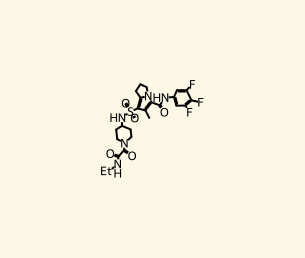 CCNC(=O)C(=O)N1CCC(NS(=O)(=O)c2c(C)c(C(=O)Nc3cc(F)c(F)c(F)c3)n3c2CCC3)CC1